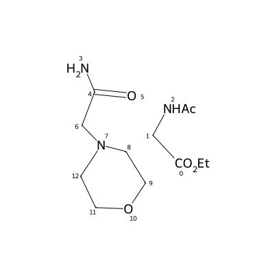 CCOC(=O)CNC(C)=O.NC(=O)CN1CCOCC1